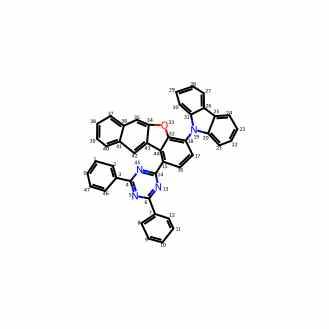 c1ccc(-c2nc(-c3ccccc3)nc(-c3ccc(-n4c5ccccc5c5ccccc54)c4oc5cc6ccccc6cc5c34)n2)cc1